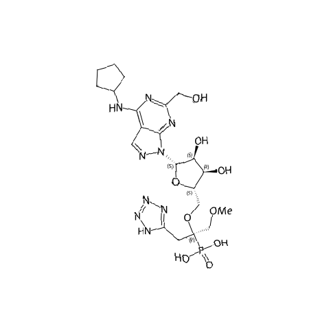 COC[C@](Cc1nnn[nH]1)(OC[C@@H]1O[C@H](n2ncc3c(NC4CCCC4)nc(CO)nc32)[C@@H](O)[C@H]1O)P(=O)(O)O